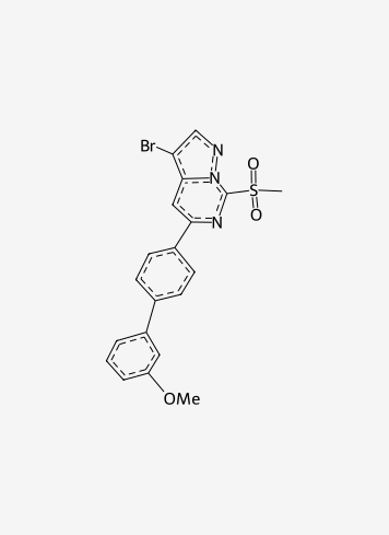 COc1cccc(-c2ccc(-c3cc4c(Br)cnn4c(S(C)(=O)=O)n3)cc2)c1